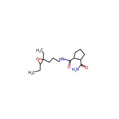 CCC1OC1(CC)CCCNC(=O)C1CCCC1C(N)=O